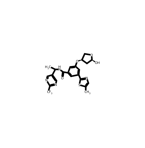 Cc1cnc(-c2cc(O[C@H]3CO[C@@H](O)C3)cc(C(=O)NC(C)c3cnc(C(F)(F)F)nc3)c2)s1